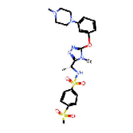 CCn1c(Oc2cccc(N3CCN(C)CC3)c2)nnc1[C@@H](C)NS(=O)(=O)c1ccc(S(C)(=O)=O)cc1